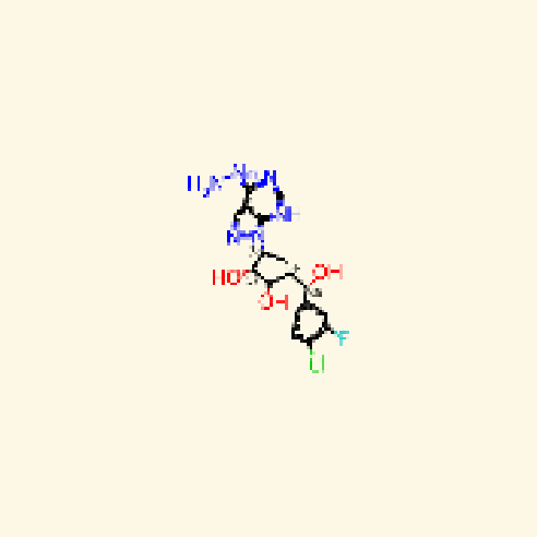 N/N=c1/nc[nH]c2c1cnn2[C@@H]1C[C@H]([C@H](O)c2ccc(Cl)c(F)c2)[C@@H](O)[C@H]1O